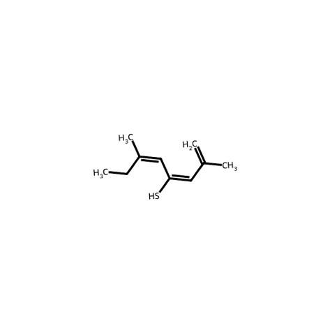 C=C(C)/C=C(S)\C=C(\C)CC